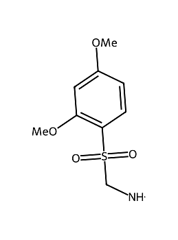 COc1ccc(S(=O)(=O)C[NH])c(OC)c1